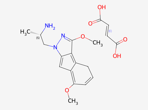 COC1=C2C=c3c(c(OC)nn3C[C@H](C)N)=C2CC=C1.O=C(O)/C=C/C(=O)O